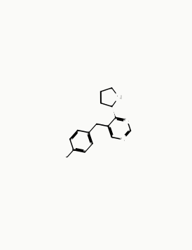 Clc1ccc(Cc2cncnc2[C@H]2CCCN2)cc1